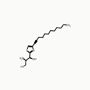 CCCCCCCCCCC#Cc1csc(C(O)C(N)CO)n1